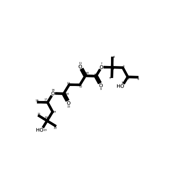 CC(O)CC(C)(C)OC(=O)C(=O)CCC(=O)OC(C)CC(C)(C)O